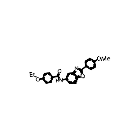 CCOc1ccc(C(=O)Nc2ccc3oc(-c4ccc(OC)cc4)nc3c2)cc1